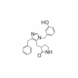 O=C1NCCC1Cc1c(Cc2ccccc2)ncn1Cc1cccc(O)c1